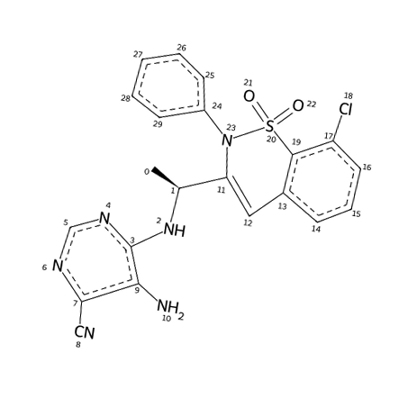 C[C@H](Nc1ncnc(C#N)c1N)C1=Cc2cccc(Cl)c2S(=O)(=O)N1c1ccccc1